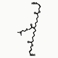 CCCCCCCC/C=C\COC(=O)CCCCCN(CCCCCC(=O)OC/C=C/CCCCCCCC)C(=O)CSCCN(C)C